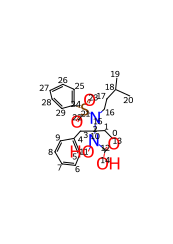 CCC(Cc1ccccc1)(N(O)C(=O)O)N(CCC(C)C)S(=O)(=O)c1ccccc1